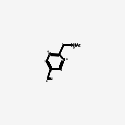 CC(=O)NCc1ncc(C(C)(C)C)cn1